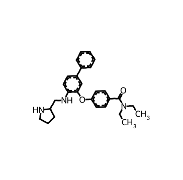 CCN(CC)C(=O)c1ccc(Oc2cc(-c3ccccc3)ccc2NCC2CCCN2)cc1